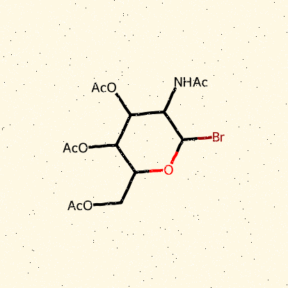 CC(=O)NC1C(Br)OC(COC(C)=O)C(OC(C)=O)C1OC(C)=O